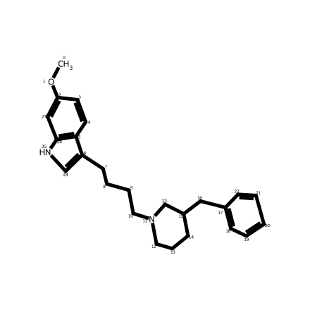 COc1ccc2c(CCCCN3CCCC(Cc4ccccc4)C3)c[nH]c2c1